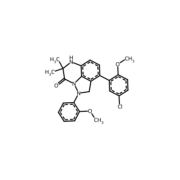 COc1ccc(Cl)cc1-c1ccc2c3c1CN(c1ccccc1OC)N3C(=O)C(C)(C)N2